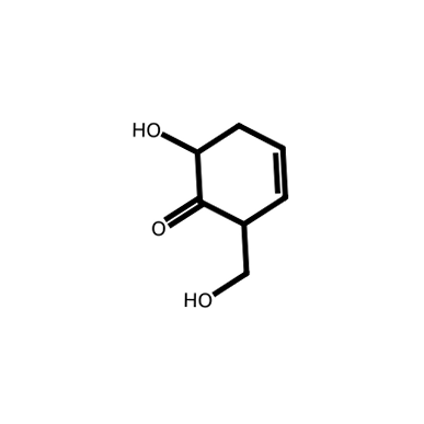 O=C1C(O)CC=CC1CO